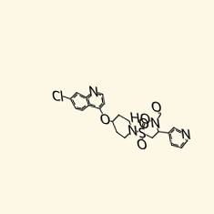 O=CN(O)C(CS(=O)(=O)N1CCC(Oc2ccnc3cc(Cl)ccc23)CC1)c1cccnc1